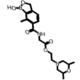 Cc1c(C(=O)NCC(=O)OCCN2CC(C)OC(C)C2)ccc2c1B(O)OC2